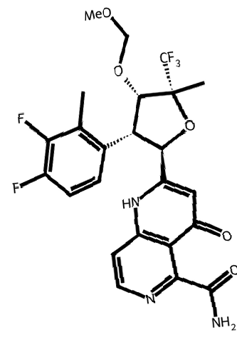 COCO[C@H]1[C@@H](c2ccc(F)c(F)c2C)[C@H](c2cc(=O)c3c(C(N)=O)nccc3[nH]2)O[C@@]1(C)C(F)(F)F